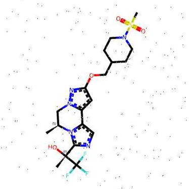 C[C@H]1Cn2nc(OCC3CCN(S(C)(=O)=O)CC3)cc2-c2cnc([C@@](C)(O)C(F)(F)F)n21